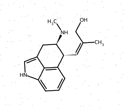 CN[C@@H]1Cc2c[nH]c3cccc(c23)[C@H]1/C=C(/C)CO